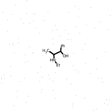 CCNC(C)C(O)C(C)C